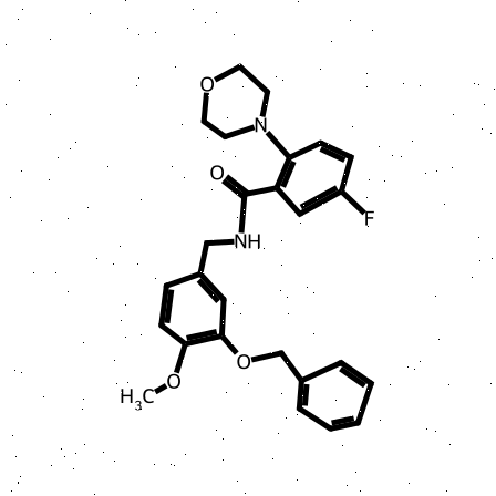 COc1ccc(CNC(=O)c2cc(F)ccc2N2CCOCC2)cc1OCc1ccccc1